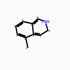 Cc1cccc2c1=CCNC=2